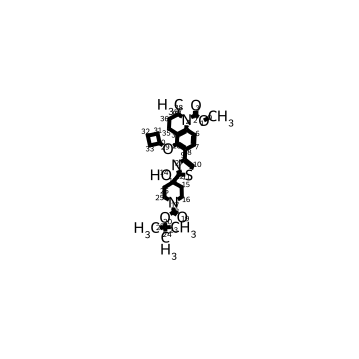 COC(=O)N1c2ccc(-c3csc(C4(O)CCN(C(=O)OC(C)(C)C)CC4)n3)c(OC3CCC3)c2CC[C@@H]1C